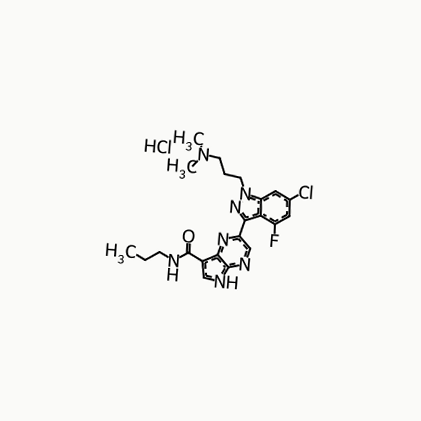 CCCNC(=O)c1c[nH]c2ncc(-c3nn(CCCN(C)C)c4cc(Cl)cc(F)c34)nc12.Cl